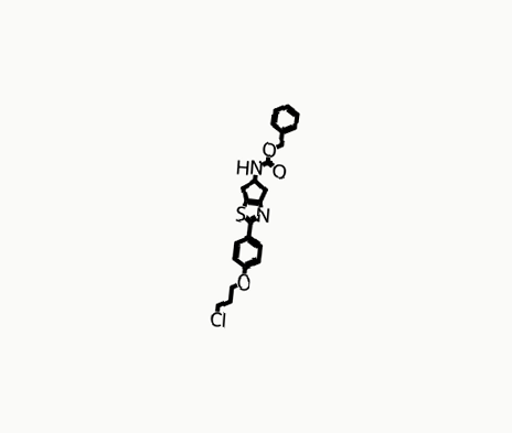 O=C(NC1Cc2nc(-c3ccc(OCCCCl)cc3)sc2C1)OCc1ccccc1